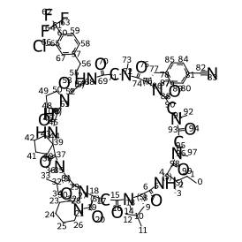 CC[C@H](C)[C@@H]1NC(=O)[C@H](CC(C)C)N(C)C(=O)C[C@@H](C(=O)N2CCCCC2)N(C)C(=O)[C@H](C(C)C)N(C)C(=O)C2(CCCC2)NC(=O)[C@@H]2CCCN2C(=O)[C@H](CCc2ccc(C(F)(F)F)c(Cl)c2)NC(=O)CN(C)C(=O)[C@H](Cc2ccc(C#N)cc2)N(C)C(=O)CN(C)C(=O)CN(C)C1=O